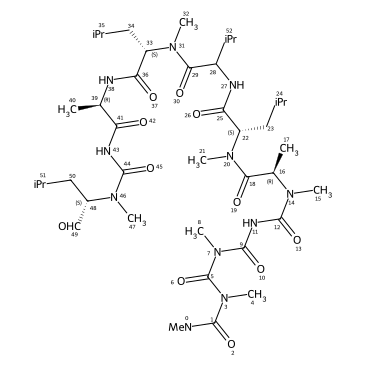 CNC(=O)N(C)C(=O)N(C)C(=O)NC(=O)N(C)[C@H](C)C(=O)N(C)[C@@H](CC(C)C)C(=O)NC(C(=O)N(C)[C@@H](CC(C)C)C(=O)N[C@H](C)C(=O)NC(=O)N(C)[C@H](C=O)CC(C)C)C(C)C